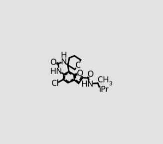 CC(C)C(C)NC(=O)c1cc2cc(Cl)c3c(c2o1)C1(CCCCC1)NC(=O)N3